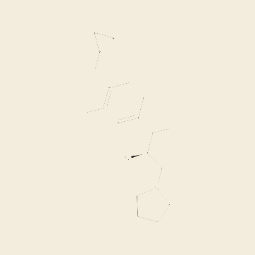 N[C@H](CN1CCCC1)C(O)c1ccc(OC2CC2)c(C(F)(F)F)c1